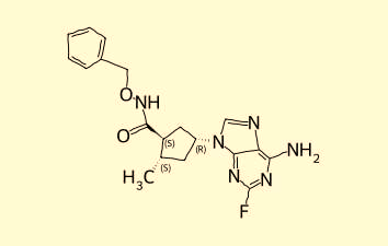 C[C@H]1C[C@@H](n2cnc3c(N)nc(F)nc32)C[C@@H]1C(=O)NOCc1ccccc1